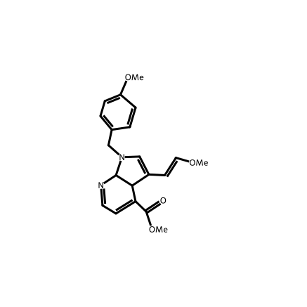 COC=CC1=CN(Cc2ccc(OC)cc2)C2N=CC=C(C(=O)OC)C12